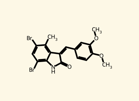 COc1ccc(C=C2C(=O)Nc3c(Br)cc(Br)c(C)c32)cc1OC